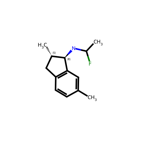 Cc1ccc2c(c1)[C@H]([N]C(C)F)[C@@H](C)C2